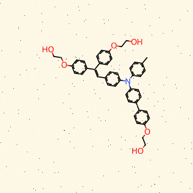 Cc1ccc(N(c2ccc(C=C(c3ccc(OCCO)cc3)c3ccc(OCCO)cc3)cc2)c2ccc(-c3ccc(OCCO)cc3)cc2)cc1